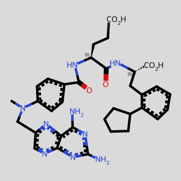 CN(Cc1cnc2nc(N)nc(N)c2n1)c1ccc(C(=O)N[C@@H](CCC(=O)O)C(=O)N[C@@H](Cc2ccccc2C2CCCC2)C(=O)O)cc1